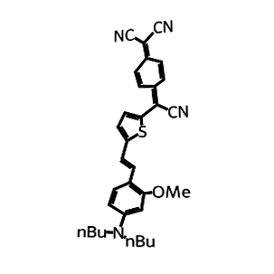 CCCCN(CCCC)c1ccc(/C=C/c2ccc(C(C#N)=c3ccc(=C(C#N)C#N)cc3)s2)c(OC)c1